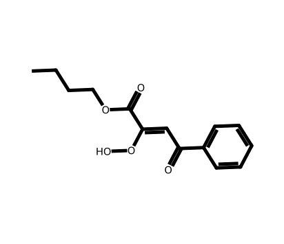 CCCCOC(=O)C(=CC(=O)c1ccccc1)OO